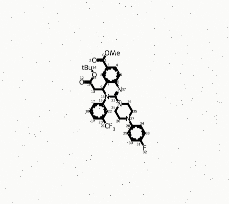 COC(=O)c1ccc2c(c1)C(CC(=O)OC(C)(C)C)N(c1cccc(C(F)(F)F)c1)C(N1CCN(c3ccc(F)cc3)CC1)=N2